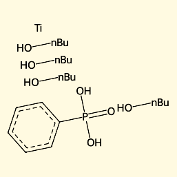 CCCCO.CCCCO.CCCCO.CCCCO.O=P(O)(O)c1ccccc1.[Ti]